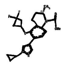 COC(=O)N1c2ccc(-c3cnn(C4CC4)c3)c(OC3CC(F)(F)C3)c2CC[C@@H]1C